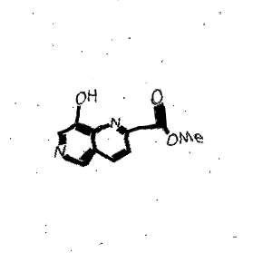 COC(=O)c1ccc2cncc(O)c2n1